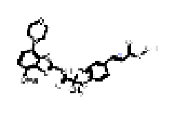 COc1ccc(N2CCOCC2)c2sc(NC(=O)C(C)(C)Oc3ccc(/C=C/C(=O)NO)cc3)nc12